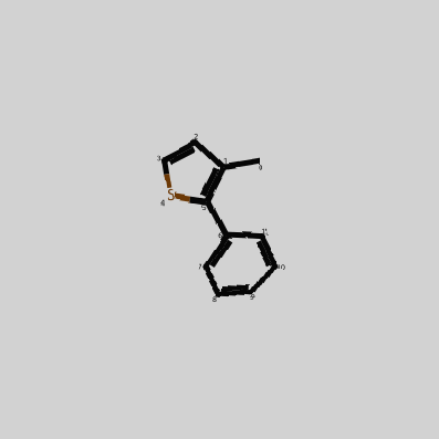 Cc1ccsc1-c1cc[c]cc1